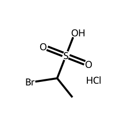 CC(Br)S(=O)(=O)O.Cl